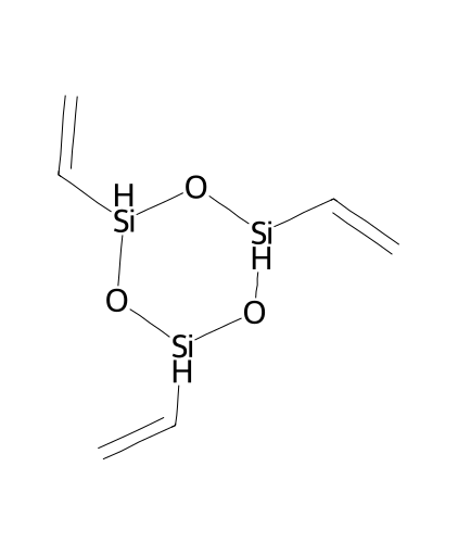 C=C[SiH]1O[SiH](C=C)O[SiH](C=C)O1